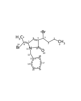 CCCC(Br)C1=C/C(=C(\C)Br)N(Cc2ccccc2)C1=O